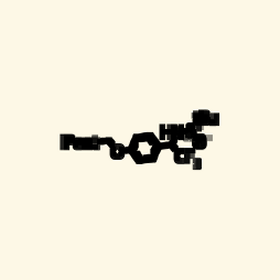 CCCC(C)COc1ccc(C(N[S@@+]([O-])C(C)(C)C)C(F)(F)F)cc1